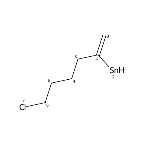 C=[C]([SnH])CCCCCl